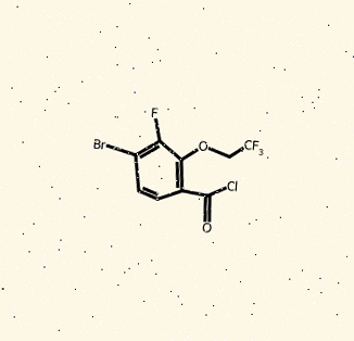 O=C(Cl)c1ccc(Br)c(F)c1OCC(F)(F)F